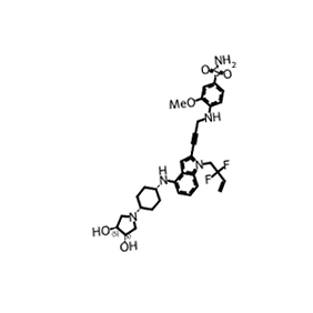 C=CC(F)(F)Cn1c(C#CCNc2ccc(S(N)(=O)=O)cc2OC)cc2c(N[C@H]3CC[C@@H](N4C[C@H](O)[C@@H](O)C4)CC3)cccc21